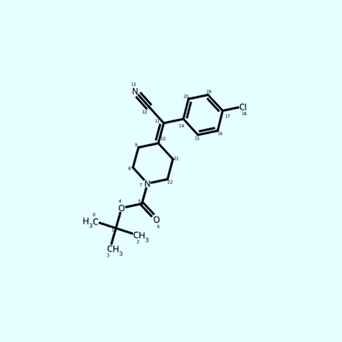 CC(C)(C)OC(=O)N1CCC(=C(C#N)c2ccc(Cl)cc2)CC1